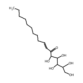 CCCCCCCCCC=CC(=O)C(O)C(O)C(O)C(O)CO